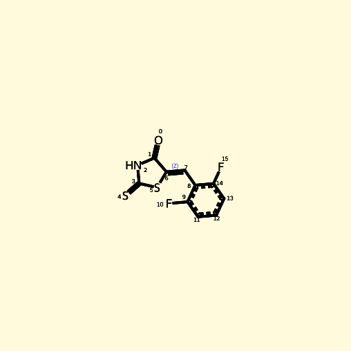 O=C1NC(=S)S/C1=C\c1c(F)cccc1F